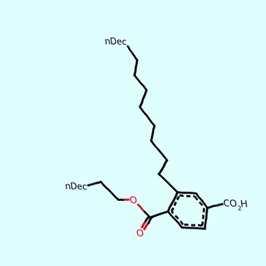 CCCCCCCCCCCCCCCCCCc1cc(C(=O)O)ccc1C(=O)OCCCCCCCCCCCC